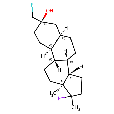 CC1(I)CC[C@H]2[C@@H]3CC[C@@H]4C[C@@](O)(CF)CC[C@@H]4[C@H]3CC[C@@]21C